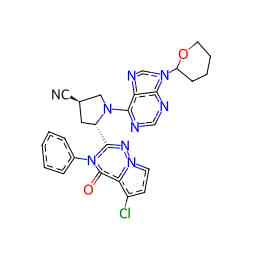 N#C[C@@H]1C[C@@H](c2nn3ccc(Cl)c3c(=O)n2-c2ccccc2)N(c2ncnc3c2ncn3C2CCCCO2)C1